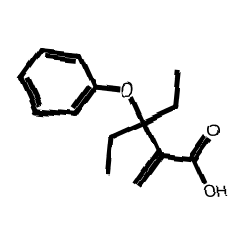 C=C(C(=O)O)C(CC)(CC)Oc1ccccc1